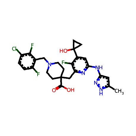 Cc1cc(Nc2cc(C3(O)CC3)c(F)c(CC3(C(=O)O)CCN(Cc4c(F)ccc(Cl)c4F)CC3)n2)n[nH]1